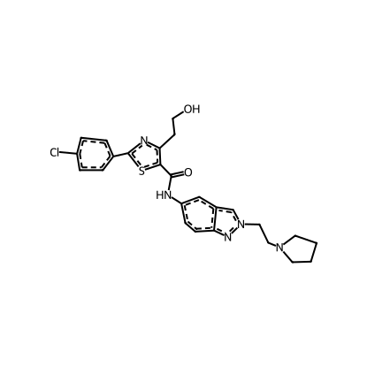 O=C(Nc1ccc2nn(CCN3CCCC3)cc2c1)c1sc(-c2ccc(Cl)cc2)nc1CCO